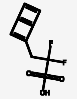 O=S(=O)(O)C(F)(F)Cc1cc2ccc1=2